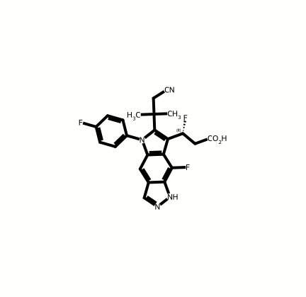 CC(C)(CC#N)c1c([C@H](F)CC(=O)O)c2c(F)c3[nH]ncc3cc2n1-c1ccc(F)cc1